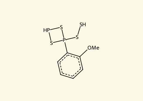 COc1ccccc1[P]1(SS)SPS1